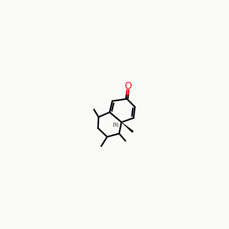 CC1CC(C)C(C)[C@@]2(C)C=CC(=O)C=C12